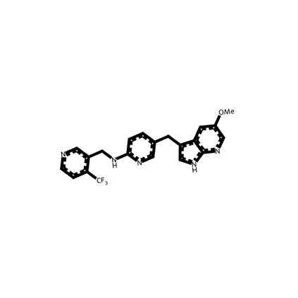 COc1cnc2[nH]cc(Cc3ccc(NCc4cnccc4C(F)(F)F)nc3)c2c1